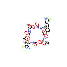 CC(C)C[C@H]1C(=O)O[C@H](Cc2ccc(Cc3ccnc(F)c3F)cc2)C(=O)N(C)[C@@H](CC(C)C)C(=O)O[C@H](C)C(=O)N(C)[C@@H](CC(C)C)C(=O)O[C@H](Cc2ccc(Cc3ccnc(F)c3F)cc2)C(=O)N(C)[C@@H](CC(C)C)C(=O)O[C@H](C)C(=O)N1C